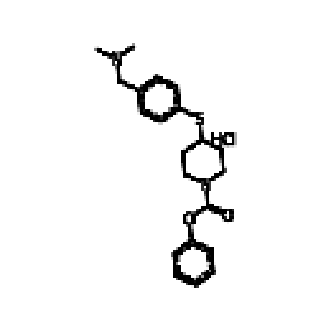 CN(C)Cc1ccc(SC2CCN(C(=O)Oc3ccccc3)CC2)cc1.Cl